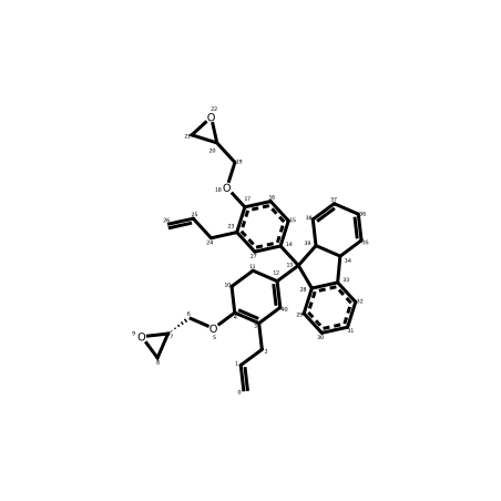 C=CCC1=C(OC[C@@H]2CO2)CCC(C2(c3ccc(OCC4CO4)c(CC=C)c3)c3ccccc3C3C=CC=CC32)=C1